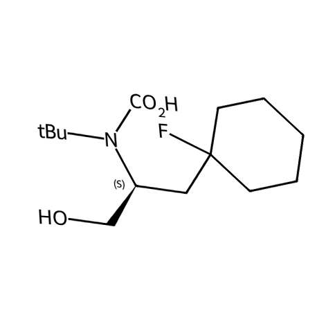 CC(C)(C)N(C(=O)O)[C@H](CO)CC1(F)CCCCC1